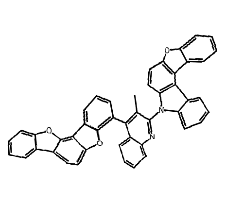 Cc1c(-n2c3ccccc3c3c4c(ccc32)oc2ccccc24)nc2ccccc2c1-c1cccc2c1oc1ccc3c4ccccc4oc3c12